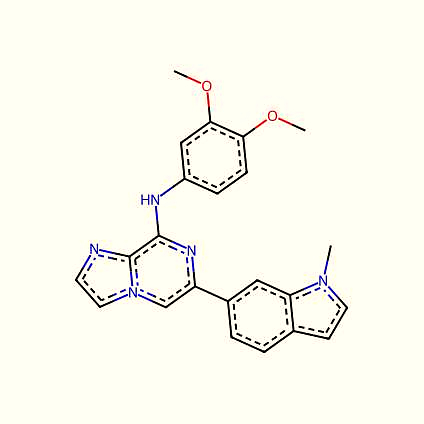 COc1ccc(Nc2nc(-c3ccc4ccn(C)c4c3)cn3ccnc23)cc1OC